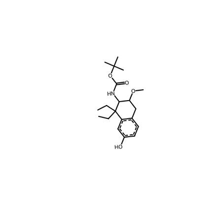 CCC1(CC)c2cc(O)ccc2CC(OC)C1NC(=O)OC(C)(C)C